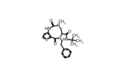 CN1CC(C(=O)NC(C)(C)C)N(CCc2ccccc2)C(=O)c2sccc2NC1=O